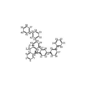 CC1(C)c2ccccc2-n2c3ccc(-c4cccc(-c5ccccc5)c4)cc3c3cc(-c4cccc(-c5ccccc5)c4)cc1c32